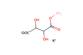 BOC(=O)C(O)C(O)C(=O)[O-].[K+]